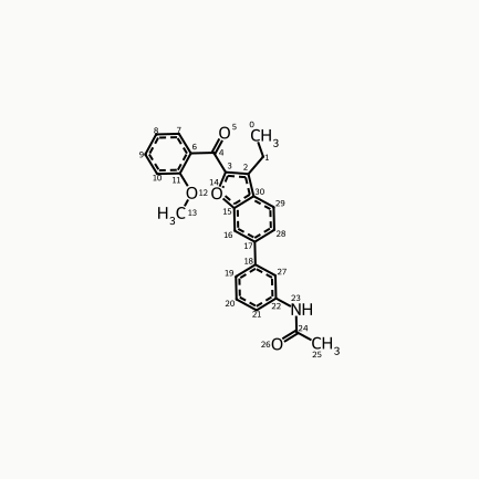 CCc1c(C(=O)c2ccccc2OC)oc2cc(-c3cccc(NC(C)=O)c3)ccc12